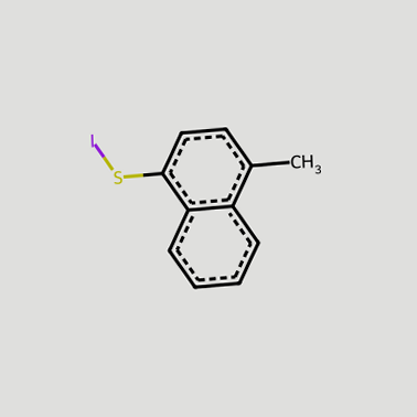 Cc1ccc(SI)c2ccccc12